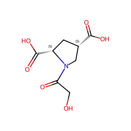 O=C(O)[C@H]1C[C@@H](C(=O)O)N(C(=O)CO)C1